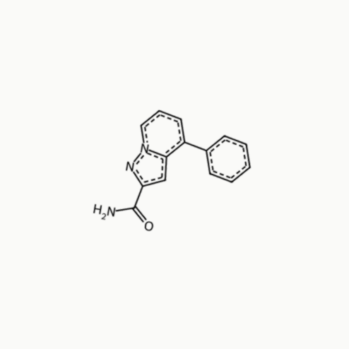 NC(=O)c1cc2c(-c3ccccc3)cccn2n1